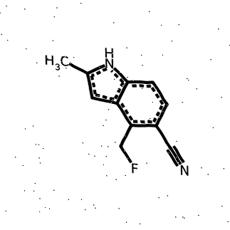 Cc1cc2c(CF)c(C#N)ccc2[nH]1